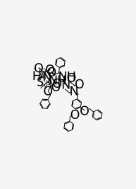 CO[C@H]1C(=O)N2[C@@H]1SC(C)(C)[C@]2(NC(=O)C(NC(=O)N1CCN(Cc2ccc(OCc3ccccc3)c(OCc3ccccc3)c2)C(=O)C1=O)c1ccccc1)C(=O)OCc1ccccc1